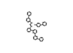 c1ccc(-c2ccc3oc4c(-c5cccc6oc7c(-c8cccc9c8oc8ccccc89)cccc7c56)nc(-c5ccc6c(c5)oc5ccccc56)nc4c3c2)cc1